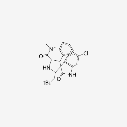 CN(C)C(=O)C1NC(CC(C)(C)C)C2(C(=O)Nc3cc(Cl)ccc32)C1c1ccccc1